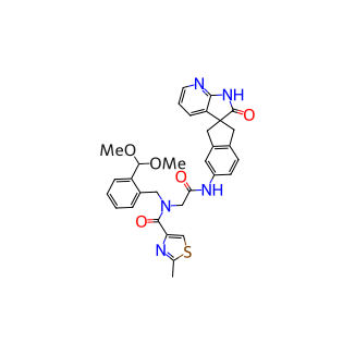 COC(OC)c1ccccc1CN(CC(=O)Nc1ccc2c(c1)CC1(C2)C(=O)Nc2ncccc21)C(=O)c1csc(C)n1